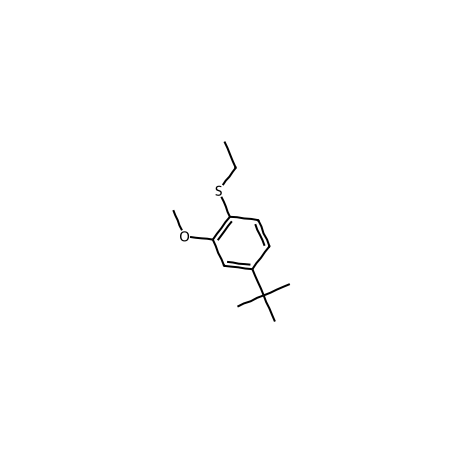 CCSc1ccc(C(C)(C)C)cc1OC